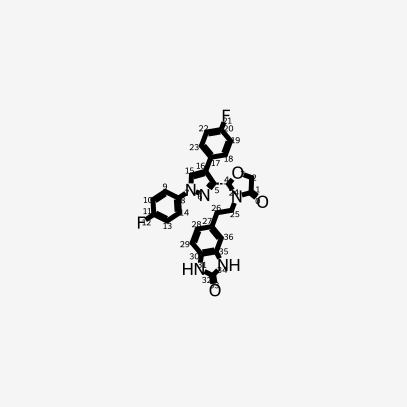 O=C1CO[C@@H](c2nn(-c3ccc(F)cc3)cc2-c2ccc(F)cc2)N1CCc1ccc2[nH]c(=O)[nH]c2c1